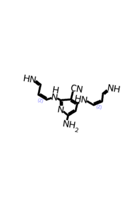 N#Cc1c(N/C=C\C=N)cc(N)nc1N/C=C\C=N